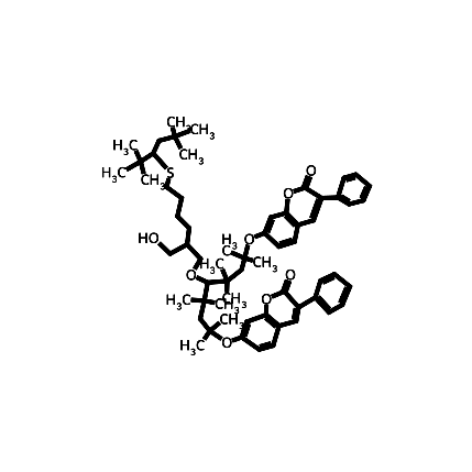 CC(C)(C)CC(SCCCCC(CO)COC(C(C)(C)CC(C)(C)Oc1ccc2cc(-c3ccccc3)c(=O)oc2c1)C(C)(C)CC(C)(C)Oc1ccc2cc(-c3ccccc3)c(=O)oc2c1)C(C)(C)C